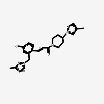 Cc1cnn(C2CCN(C(=O)/C=C/c3ccc(Cl)cc3Cn3nnc(C)n3)CC2)c1